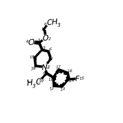 CCOC(=O)C1CCN(C(C)c2ccc(F)cc2)CC1